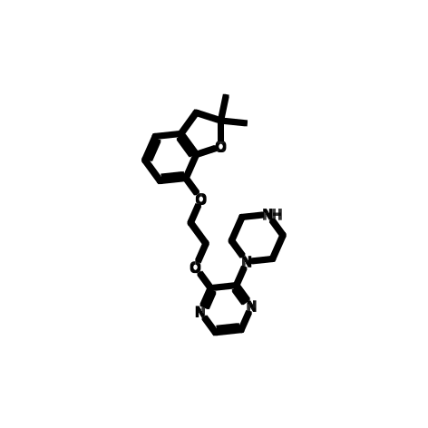 CC1(C)Cc2cccc(OCCOc3nccnc3N3CCNCC3)c2O1